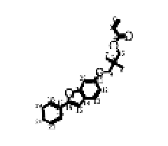 C=CC(=O)OCC(C)(C)COc1ccc2cc(-c3ccccc3)oc2c1